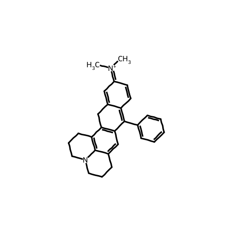 C[N+](C)=C1C=CC2=C(c3ccccc3)c3cc4c5c(c3CC2=C1)CCCN5CCC4